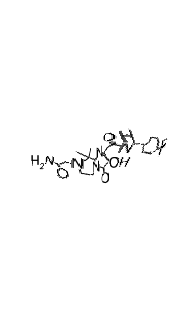 CC1(C)c2nc(C(=O)NCc3ccc(F)cc3)c(O)c(=O)n2CCN1CC(N)=O